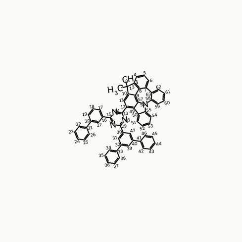 CC1(C)c2cccc3c2-c2c1cc(-c1nc(-c4cccc(-c5ccccc5)c4)nc(-c4cc(-c5ccccc5)cc(-c5ccccc5)c4)n1)c1c4ccccc4n(c21)-c1ccccc1-3